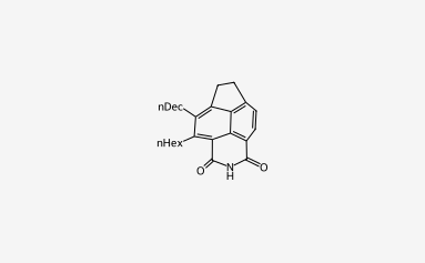 CCCCCCCCCCc1c(CCCCCC)c2c3c(ccc4c3c1CC4)C(=O)NC2=O